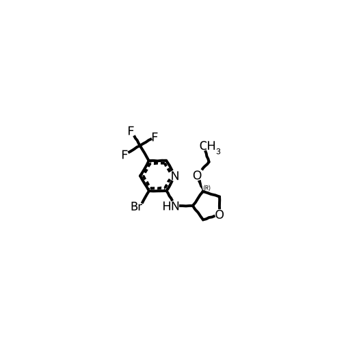 CCO[C@H]1COCC1Nc1ncc(C(F)(F)F)cc1Br